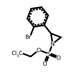 O=S(=O)(OCC(Cl)(Cl)Cl)N1CC1c1ccccc1Br